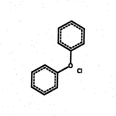 [C].c1ccc(Oc2ccccc2)cc1